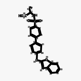 CC(C)C(NS(=O)(=O)c1ccc(-c2ccc(Oc3nc4ccccc4o3)cc2)cc1)C(=O)O